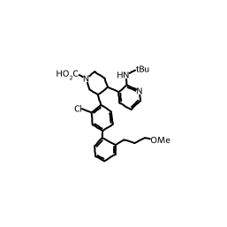 COCCCc1ccccc1-c1ccc(C2CN(C(=O)O)CCC2c2cccnc2NC(C)(C)C)c(Cl)c1